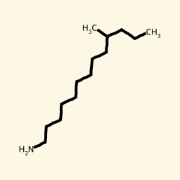 CCCC(C)CCCCCCCCCN